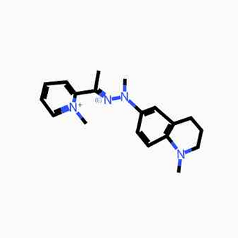 C/C(=N\N(C)c1ccc2c(c1)CCCN2C)c1cccc[n+]1C